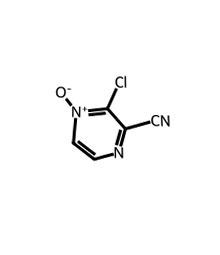 N#Cc1ncc[n+]([O-])c1Cl